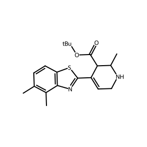 Cc1ccc2sc(C3=CCNC(C)C3C(=O)OC(C)(C)C)nc2c1C